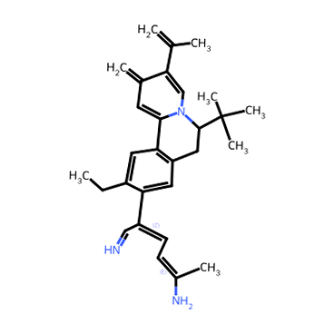 C=C(C)C1=CN2C(=CC1=C)c1cc(CC)c(/C(C=N)=C/C=C(\C)N)cc1CC2C(C)(C)C